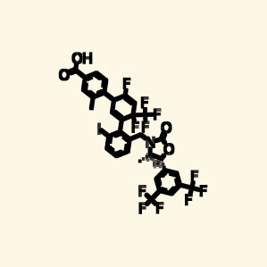 Cc1cc(C(=O)O)ccc1C1C=C(c2c(I)cccc2CN2C(=O)O[C@H](c3cc(C(F)(F)F)cc(C(F)(F)F)c3)[C@@H]2C)C(F)(C(F)(F)F)C=C1F